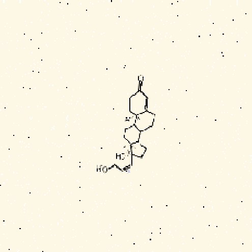 C[C@]12CCC3C(CCC4=CC(=O)CC[C@@H]43)C1CC[C@@]2(O)/C=C\CO